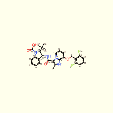 Cc1nc2c(OCc3c(F)cccc3F)cccn2c1C(=O)NC1c2ccccc2N(C(=O)O)C1C(C)(C)C